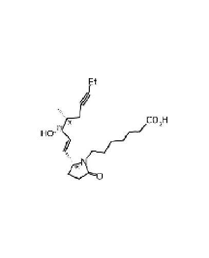 CCC#CC[C@@H](C)[C@@H](O)C=C[C@H]1CCC(=O)N1CCCCCCC(=O)O